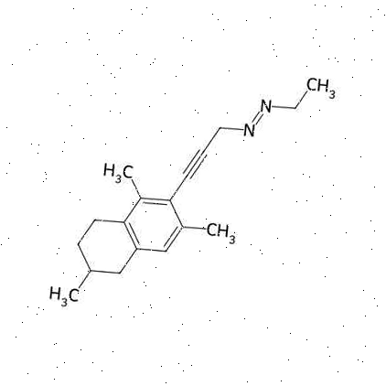 CCN=NCC#Cc1c(C)cc2c(c1C)CCC(C)C2